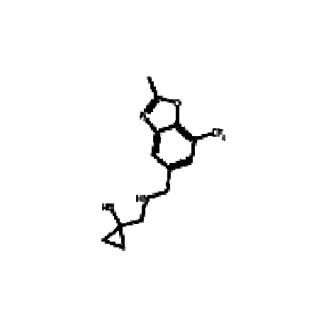 Cc1nc2cc(CNCC3(O)CC3)cc(C(F)(F)F)c2o1